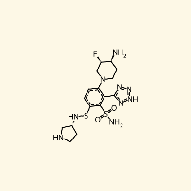 N[C@H]1CCN(c2ccc(SN[C@@H]3CCNC3)c(S(N)(=O)=O)c2-c2nn[nH]n2)C[C@H]1F